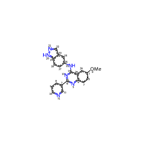 COc1ccc2nc(-c3cccnc3)nc(Nc3ccc4[nH]ncc4c3)c2c1